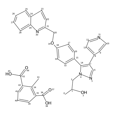 CC(O)Cn1ncc(-c2ccncc2)c1-c1ccc(OCc2ccc3ccccc3n2)cc1.Cc1c(C(=O)O)cccc1C(=O)O